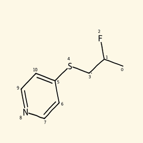 CC(F)[CH]Sc1ccncc1